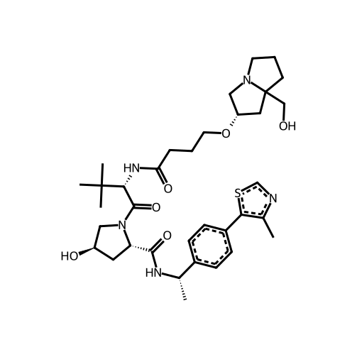 Cc1ncsc1-c1ccc([C@H](C)NC(=O)[C@@H]2C[C@@H](O)CN2C(=O)[C@@H](NC(=O)CCCO[C@@H]2CN3CCCC3(CO)C2)C(C)(C)C)cc1